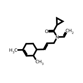 C=CN(C/C=C/C1CCC(C)=CC1C)C(=O)C1CC1